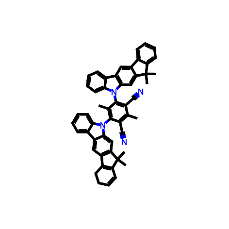 Cc1c(C#N)c(-n2c3ccccc3c3cc4c(cc32)C(C)(C)C2=C4CCC=C2)c(C)c(-n2c3ccccc3c3cc4c(cc32)C(C)(C)c2ccccc2-4)c1C#N